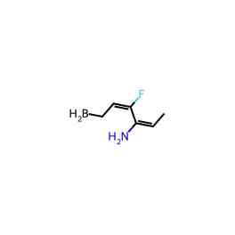 BC/C=C(F)\C(N)=C/C